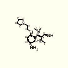 CB/C(C=N)=C(\c1cc(N)ccc1OCCN1CCCC1)N(C)C